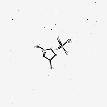 CCCC[N+]1=CC(CC)CC1.O=S(=O)([O-])C(F)(F)F